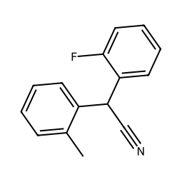 Cc1ccccc1C(C#N)c1ccccc1F